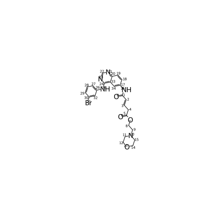 O=C(/C=C/CC(=O)OCCN1CCOCC1)Nc1ccc2ncnc(Nc3cccc(Br)c3)c2c1